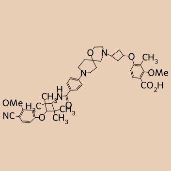 COc1cc(OC2C(C)(C)C(NC(=O)c3ccc(N4CCC5(CC4)CN(C4CC(Oc6ccc(C(=O)O)c(OC)c6C)C4)CCO5)cc3)C2(C)C)ccc1C#N